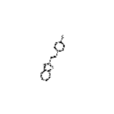 Clc1ccc(/C=C/c2nc3ccccc3s2)cc1